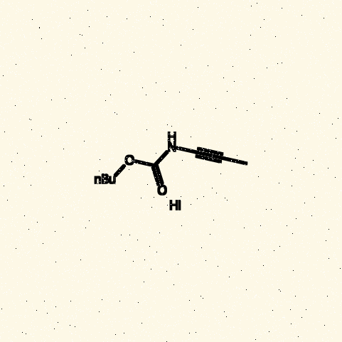 CC#CNC(=O)OCCCC.I